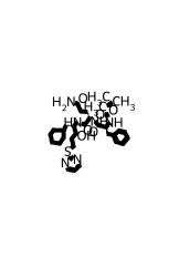 CC(C)(C)OC(=O)N[C@@H](Cc1ccccc1)C(=O)N[C@@H](CCC(N)=O)C(=O)N[C@@H](CC1CCCCC1)[C@@H](O)CCSc1ncccn1